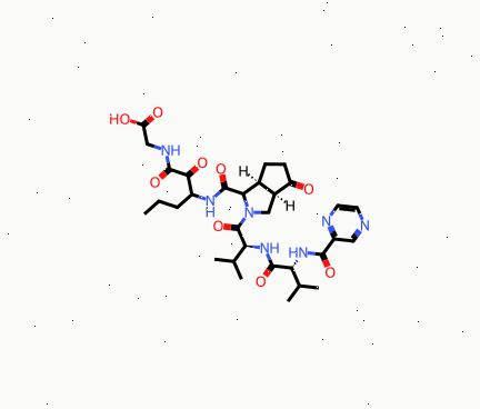 CCCC(NC(=O)C1[C@H]2CCC(=O)[C@H]2CN1C(=O)[C@@H](NC(=O)[C@H](NC(=O)c1cnccn1)C(C)C)C(C)C)C(=O)C(=O)NCC(=O)O